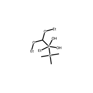 CCOC(OCC)P(O)(O)(CC)[Si](C)(C)C